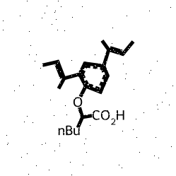 C/C=C(\C)c1ccc(OC(CCCC)C(=O)O)c(/C(C)=C/C)c1